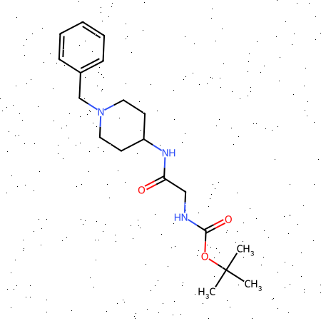 CC(C)(C)OC(=O)NCC(=O)NC1CCN(Cc2ccccc2)CC1